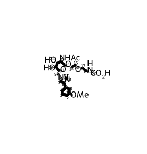 COc1cccc(-c2cn(C[C@H]3OC(OCCOCCNC(=O)O)[C@H](NC(C)=O)[C@@H](O)[C@H]3O)nn2)c1